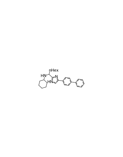 CCCCCCC(NC1CCCCC1)c1nc(-c2ccc(-c3ccccc3)cc2)c[nH]1